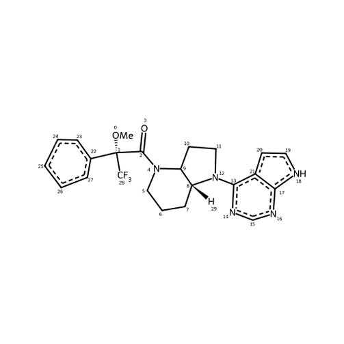 CO[C@@](C(=O)N1CCC[C@@H]2C1CCN2c1ncnc2[nH]ccc12)(c1ccccc1)C(F)(F)F